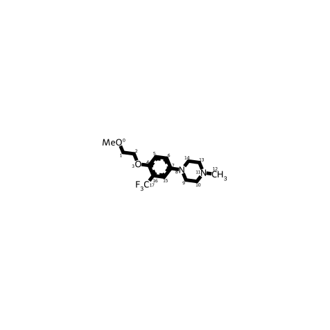 COCCOc1ccc(N2CCN(C)CC2)cc1C(F)(F)F